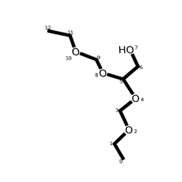 CCOCOC(CO)OCOCC